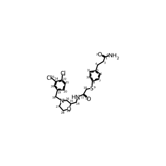 NC(=O)CCc1ccc(SCC(=O)NCC2CN(Cc3ccc(Cl)c(Cl)c3)CCO2)cc1